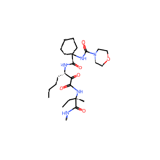 CCCC[C@H](NC(=O)C1(NC(=O)N2CCOCC2)CCCCC1)C(=O)C(=O)N[C@@](C)(CC)C(=O)NC